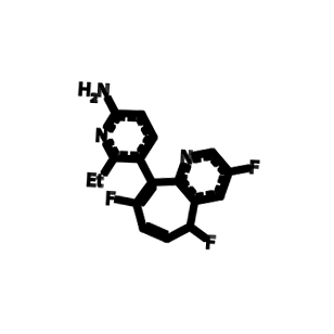 CCc1nc(N)ccc1C1=C(F)C=CC(F)c2cc(F)cnc21